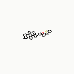 c1ccc2c(-c3c4ccccc4c(-c4ccc(-c5ccc6oc7c(ccc8ccc9c%10ccccc%10sc9c87)c6c5)c5ccccc45)c4ccccc34)cccc2c1